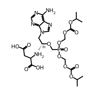 CC(C)OC(=O)OCOP(=O)(CO[C@H](C)Cn1cnc2c(N)ncnc21)OCOC(=O)OC(C)C.NC(CC(=O)O)C(=O)O